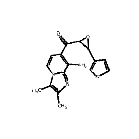 Cc1nc2c(N)c(C(=O)C3OC3c3ccsc3)ccn2c1C